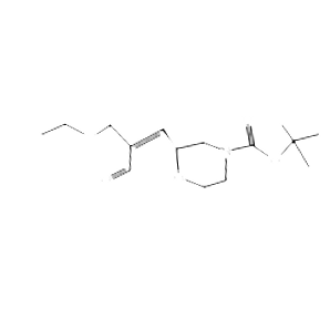 CCOC/C(C=O)=C/[C@H]1CN(C(=O)OC(C)(C)C)CCO1